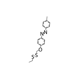 CCSSCOc1ccc(/N=N/c2ccc(C)cc2)cc1